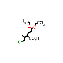 C/C(CCl)=C(\CCC(OCC(Cl)(Cl)Cl)OCC(Cl)(Cl)Cl)C(=O)O